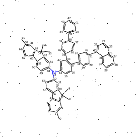 Cc1ccc2c(c1)C(C)(C)c1cc(N(c3ccc(-c4ccc(-c5cccc6ccccc56)cc4)c(-c4ccc(-c5ccccc5)cc4)c3)c3ccc4c(c3)C(C)(C)c3cc(C)ccc3-4)ccc1-2